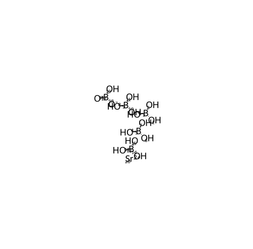 OB(O)O.OB(O)O.OB(O)O.OB(O)O.[O-]B([O-])O.[Sr+2]